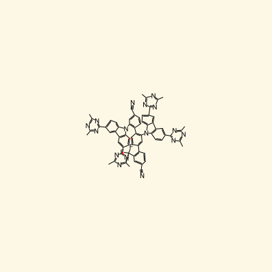 Cc1nc(C)nc(-c2ccc3c(c2)c2cc(-c4nc(C)nc(C)n4)ccc2n3-c2cc(C#N)ccc2-c2ccc(-c3ccc(C#N)cc3C(F)(F)F)cc2-n2c3ccc(-c4nc(C)nc(C)n4)cc3c3cc(-c4nc(C)nc(C)n4)ccc32)n1